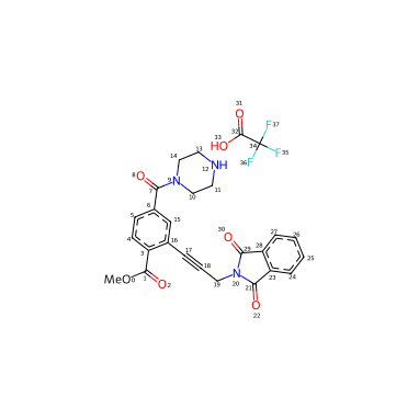 COC(=O)c1ccc(C(=O)N2CCNCC2)cc1C#CCN1C(=O)c2ccccc2C1=O.O=C(O)C(F)(F)F